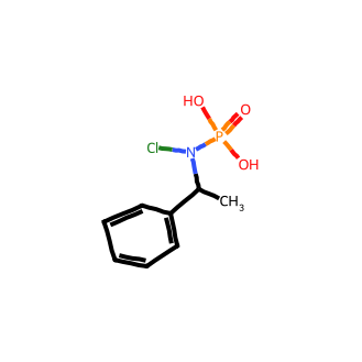 CC(c1ccccc1)N(Cl)P(=O)(O)O